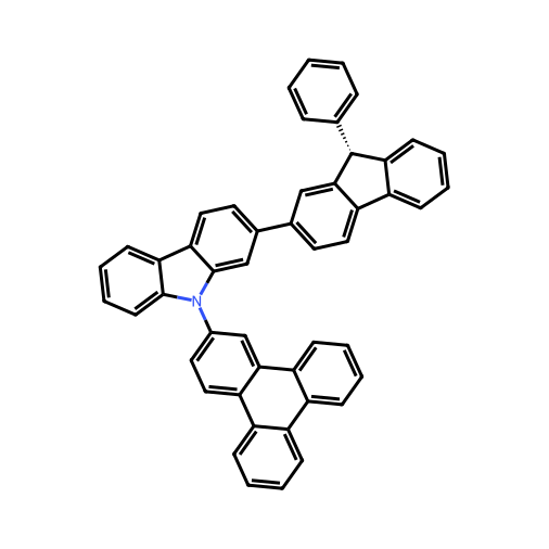 c1ccc([C@@H]2c3ccccc3-c3ccc(-c4ccc5c6ccccc6n(-c6ccc7c8ccccc8c8ccccc8c7c6)c5c4)cc32)cc1